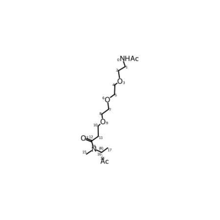 CC(=O)NCCOCCOCCOCCC(=O)N(C)[C@H](C)C(C)=O